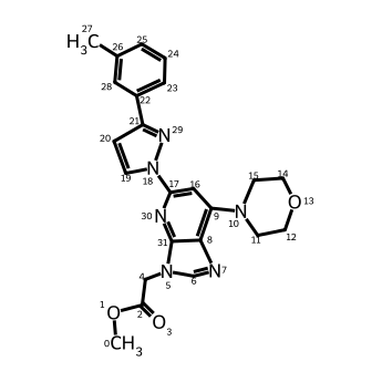 COC(=O)Cn1cnc2c(N3CCOCC3)cc(-n3ccc(-c4cccc(C)c4)n3)nc21